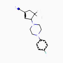 CC1(C)CC(C#N)=CC1N1CCN(c2ccc(F)cc2)CC1